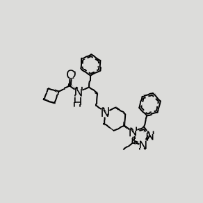 Cc1nnc(-c2ccccc2)n1C1CCN(CCC(NC(=O)C2CCC2)c2ccccc2)CC1